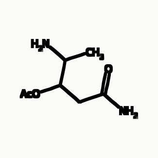 CC(=O)OC(CC(N)=O)C(C)N